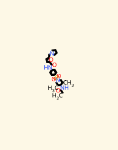 C=CC(=O)NC1C(C)CN(S(=O)(=O)c2ccc(NC(=O)c3ccc(CN4CCCC4)o3)cc2)CC1C